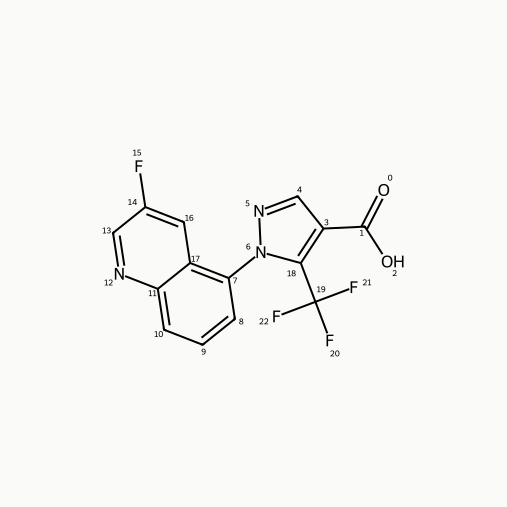 O=C(O)c1cnn(-c2cccc3ncc(F)cc23)c1C(F)(F)F